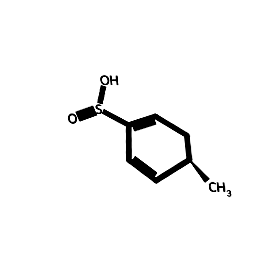 C[C@H]1C=CC(S(=O)O)=CC1